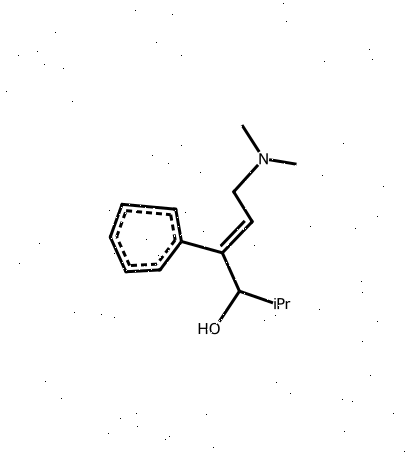 CC(C)C(O)/C(=C/CN(C)C)c1ccccc1